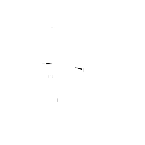 OCC1C[C@@H]2OC(N3CCC3)N[C@@H]2C[C@@H]1O